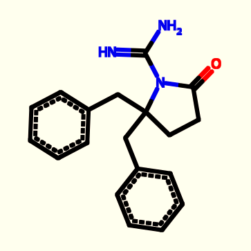 N=C(N)N1C(=O)CCC1(Cc1ccccc1)Cc1ccccc1